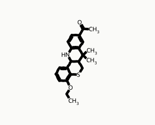 CCOc1cccc2c1SCC1C2Nc2ccc(C(C)=O)cc2C1(C)C